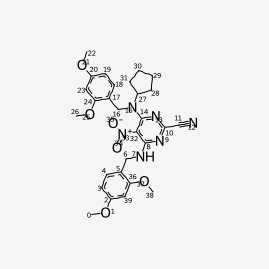 COc1ccc(CNc2nc(C#N)nc(N(Cc3ccc(OC)cc3OC)C3CCCC3)c2[N+](=O)[O-])c(OC)c1